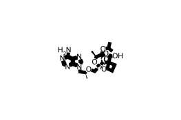 CC(C)OC(=O)[C@H](C)OP(=O)(CO[C@H](C)Cn1cnc2c(N)ncnc21)NC1(C(=O)O)CCC1